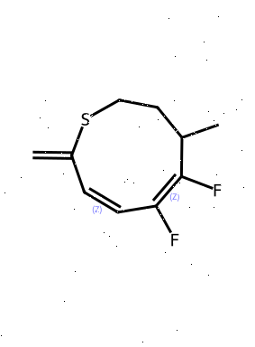 C=C1/C=C\C(F)=C(\F)C(C)CCS1